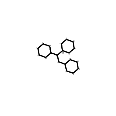 C1CCC(CC(C2CCCCC2)C2CCCCC2)CC1